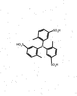 Cc1ccc(S(=O)(=O)O)cc1P(c1cc(S(=O)(=O)O)ccc1C)c1cc(S(=O)(=O)O)ccc1C